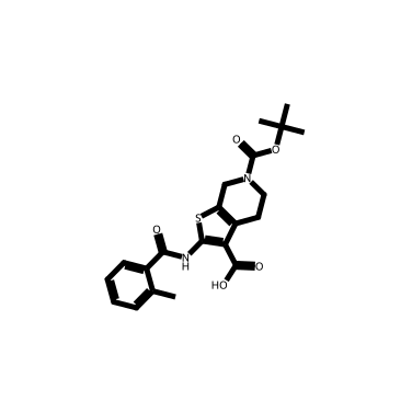 Cc1ccccc1C(=O)Nc1sc2c(c1C(=O)O)CCN(C(=O)OC(C)(C)C)C2